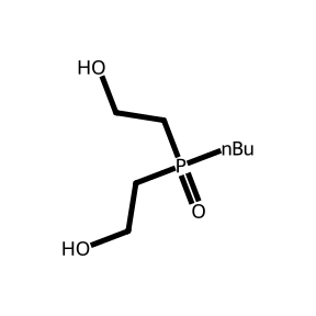 CCCCP(=O)(CCO)CCO